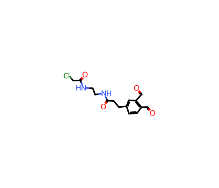 O=Cc1ccc(CCC(=O)NCCNC(=O)CCl)cc1C=O